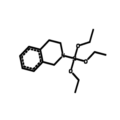 CCO[Si](OCC)(OCC)N1CCc2ccccc2C1